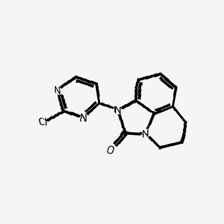 O=c1n2c3c(cccc3n1-c1ccnc(Cl)n1)CCC2